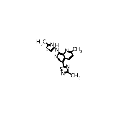 Cc1ccc2c(-c3nc(C)ns3)cnc(Nc3csc(C)n3)c2n1